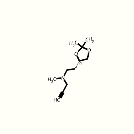 C#CCN(C)CC[C@H]1COC(C)(C)O1